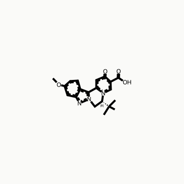 COc1ccc2c3n(nc2c1)C[C@@H](C(C)(C)C)n1cc(C(=O)O)c(=O)cc1-3